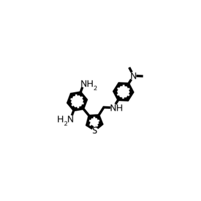 CN(C)c1ccc(NCc2cscc2-c2cc(N)ccc2N)cc1